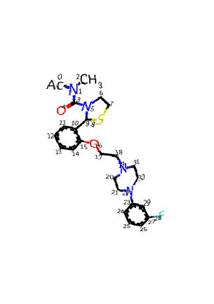 CC(=O)N(C)C(=O)N1CCSC1c1ccccc1OCCN1CCN(c2cccc(F)c2)CC1